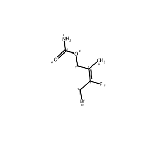 C/C(COC(N)=O)=C(\F)CBr